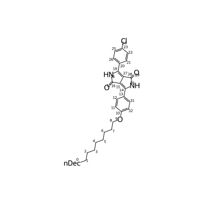 CCCCCCCCCCCCCCCCCCOc1ccc(C2=C3C(=O)NC(c4ccc(Cl)cc4)=C3C(=O)N2)cc1